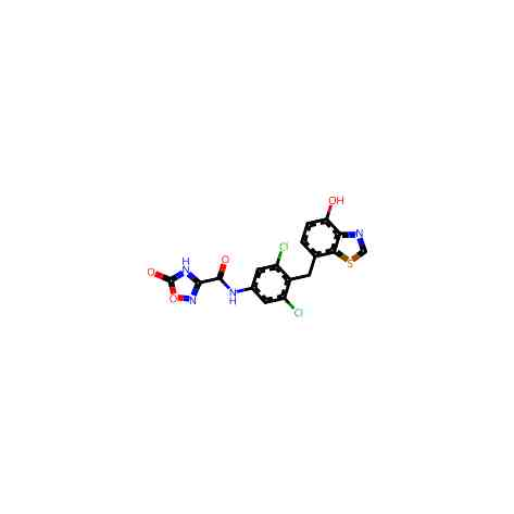 O=C(Nc1cc(Cl)c(Cc2ccc(O)c3ncsc23)c(Cl)c1)c1noc(=O)[nH]1